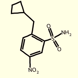 NS(=O)(=O)c1cc([N+](=O)[O-])ccc1CC1CCC1